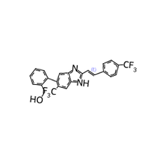 OCc1ccccc1-c1cc2nc(/C=C/c3ccc(C(F)(F)F)cc3)[nH]c2cc1C(F)(F)F